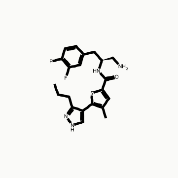 CCCc1n[nH]cc1-c1sc(C(=O)N[C@H](CN)Cc2ccc(F)c(F)c2)cc1C